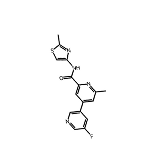 Cc1cc(-c2cncc(F)c2)cc(C(=O)Nc2csc(C)n2)n1